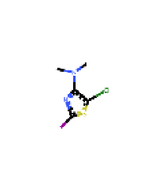 CN(C)c1nc(I)sc1Cl